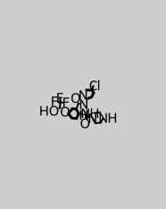 O=C(Nc1ccc(Cl)cn1)c1ccccc1NC(=O)N1CCNCC1.O=C(O)C(F)(F)F